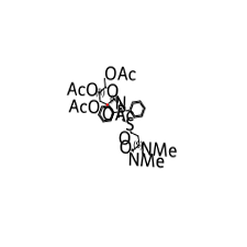 CNC(=O)[C@H](CC(=O)SCP(=N[C@@H]1OC(COC(C)=O)[C@@H](OC(C)=O)C(OC(C)=O)C1OC(C)=O)(c1ccccc1)c1ccccc1)NC